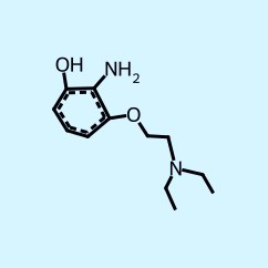 CCN(CC)CCOc1cccc(O)c1N